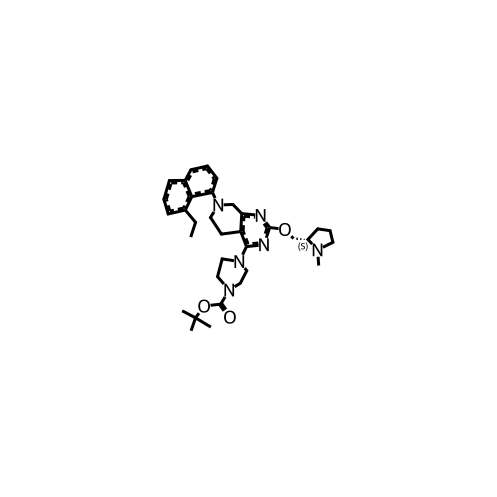 CCc1cccc2cccc(N3CCc4c(nc(OC[C@@H]5CCCN5C)nc4N4CCN(C(=O)OC(C)(C)C)CC4)C3)c12